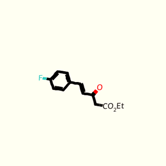 CCOC(=O)CC(=O)C=Cc1ccc(F)cc1